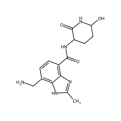 Cc1nc2c(C(=O)NC3CCC(O)NC3=O)ccc(CN)c2[nH]1